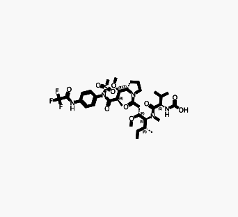 CC[C@@H](C)[C@@H]([C@@H](CC(=O)N1CCC[C@H]1[C@H](OC)[C@@H](C)C(=O)N(c1ccc(NC(=O)C(F)(F)F)cc1)S(C)(=O)=O)OC)N(C)C(=O)[C@@H](NC(=O)O)C(C)C